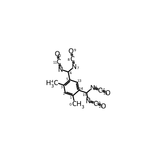 Cc1cc(C)c(C(N=C=O)N=C=O)cc1C(N=C=O)N=C=O